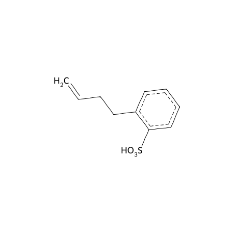 C=CCCc1ccccc1S(=O)(=O)O